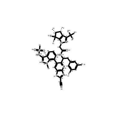 C[C@@H]1c2c(C(F)(F)F)nn(CC(=O)NC(Cc3cc(F)cc(F)c3)c3nc4nc(C#N)sc4cc3-c3cccc4c(NS(C)(=O)=O)nn(C)c34)c2C(F)(F)[C@@H]1C